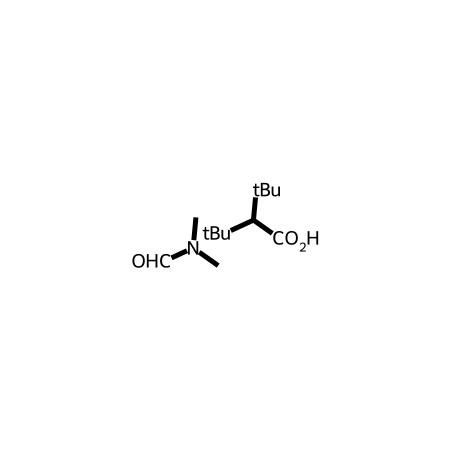 CC(C)(C)C(C(=O)O)C(C)(C)C.CN(C)C=O